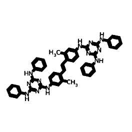 Cc1cc(Nc2nc(Nc3ccccc3)nc(Nc3ccccc3)n2)ccc1C=Cc1ccc(Nc2nc(Nc3ccccc3)nc(Nc3ccccc3)n2)cc1C